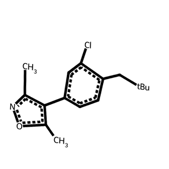 Cc1noc(C)c1-c1ccc(CC(C)(C)C)c(Cl)c1